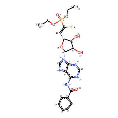 CCOP(=O)(OCC)/C(F)=C/[C@H]1O[C@@H](n2cnc3c(NC(=O)c4ccccc4)ncnc32)[C@H](O)[C@@H]1O